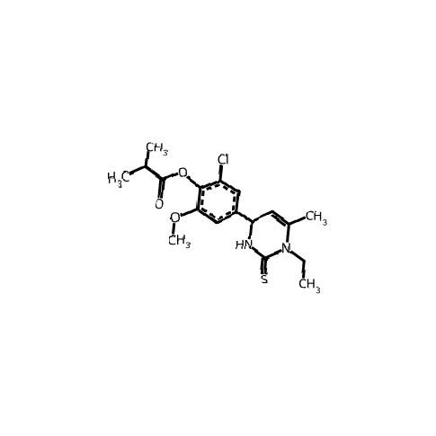 CCN1C(=S)NC(c2cc(Cl)c(OC(=O)C(C)C)c(OC)c2)C=C1C